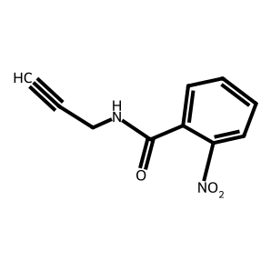 C#CCNC(=O)c1ccccc1[N+](=O)[O-]